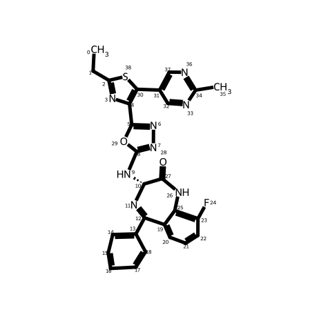 CCc1nc(-c2nnc(N[C@H]3N=C(c4ccccc4)c4cccc(F)c4NC3=O)o2)c(-c2cnc(C)nc2)s1